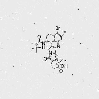 CC[C@@]1(O)C(=O)CCc2c1cc1n(c2=O)Cc2c-1nc1cc(F)c(Br)c3c1c2[C@@H](NC(=O)[C@@H](C)C(C)(C)C)CC3